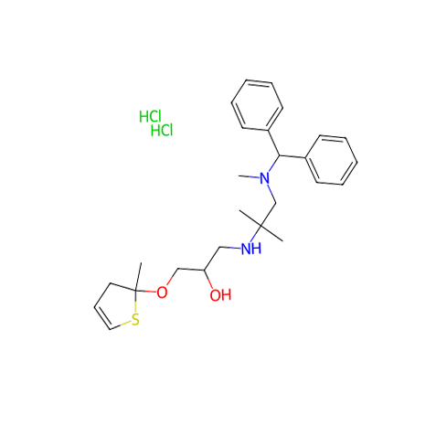 CN(CC(C)(C)NCC(O)COC1(C)CC=CS1)C(c1ccccc1)c1ccccc1.Cl.Cl